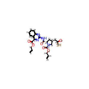 C=CCOC(=O)c1nc(NC(=O)[C@@H]2C[C@@H](CC(=O)S)CN2C(=O)OCC=C)nc2ccccc12